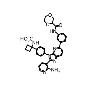 Nc1ncccc1-c1nc2ccc(-c3cccc(NC(=O)C4COCCO4)c3)nc2n1-c1ccc(C2(NC(=O)O)CCC2)cc1